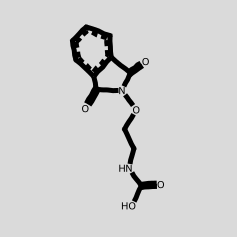 O=C(O)NCCON1C(=O)c2ccccc2C1=O